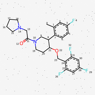 Cc1cc(F)ccc1C1CN(C(=O)CN2CCCC2)CCC1OCc1c(F)cc(F)cc1F